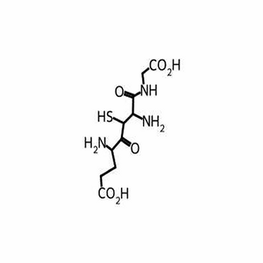 NC(CCC(=O)O)C(=O)C(S)C(N)C(=O)NCC(=O)O